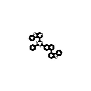 c1ccc(-c2nc(-c3ccc4c(-c5cccc6oc7ccccc7c56)cccc4c3)nc(-c3cncc4oc5ccccc5c34)n2)cc1